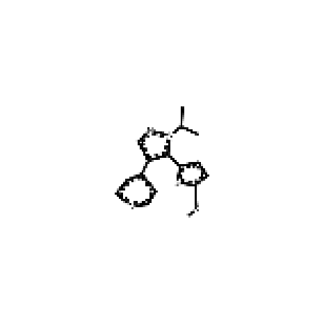 CSc1ccc(-c2c(-c3ccncc3)cnn2C(C)C)s1